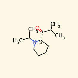 CC(C)C(=O)[C@@H]1CCCCN1C(C)C